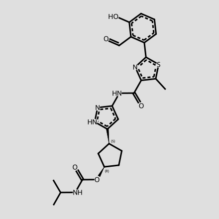 Cc1sc(-c2cccc(O)c2C=O)nc1C(=O)Nc1cc([C@H]2CC[C@@H](OC(=O)NC(C)C)C2)[nH]n1